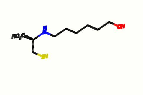 O=C(O)[C@H](CS)NCCCCCCO